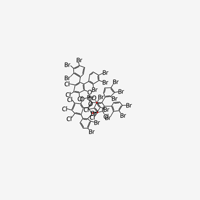 O=P(Oc1c(Cl)c(Cl)c(Cl)c(-c2ccc(Br)c(Br)c2Br)c1-c1ccc(Br)c(Br)c1Br)(Oc1c(Cl)c(Cl)c(Cl)c(-c2ccc(Br)c(Br)c2Br)c1-c1ccc(Br)c(Br)c1Br)Oc1c(Cl)c(Cl)c(Cl)c(-c2ccc(Br)c(Br)c2Br)c1-c1ccc(Br)c(Br)c1Br